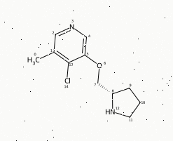 Cc1cncc(OC[C@@H]2CCCN2)c1Cl